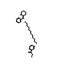 CC(=O)NCCc1c[nH]c2ccc(N(CCCCCCCCCCCCNc3c4c(nc5ccccc35)CCCC4)C(=O)O)cc12